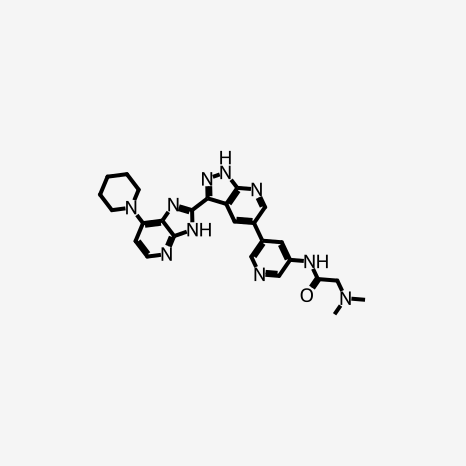 CN(C)CC(=O)Nc1cncc(-c2cnc3[nH]nc(-c4nc5c(N6CCCCC6)ccnc5[nH]4)c3c2)c1